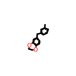 Cc1cccc(Cc2ccc3c(c2)OCCO3)c1